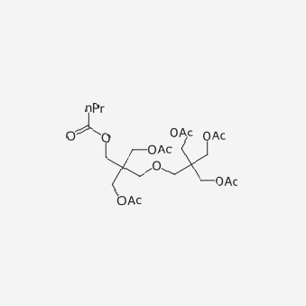 CCCC(=O)OCC(COCC(COC(C)=O)(COC(C)=O)COC(C)=O)(COC(C)=O)COC(C)=O